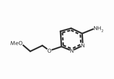 COCCOc1ccc(N)nn1